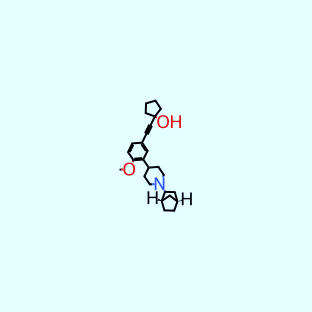 COc1ccc(C#CC2(O)CCCC2)cc1C1CCN([C@H]2C[C@H]3CC[C@H]2C3)CC1